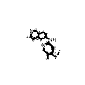 Cc1cnc(Nc2ccc3cnccc3c2)cc1SF